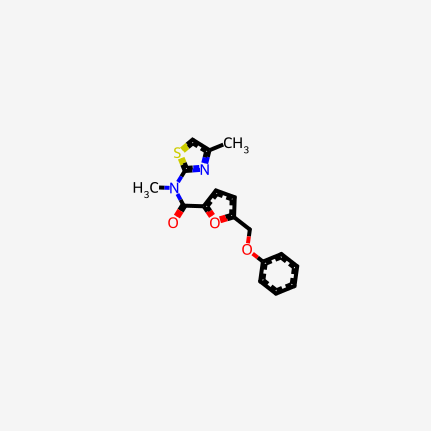 Cc1csc(N(C)C(=O)c2ccc(COc3ccccc3)o2)n1